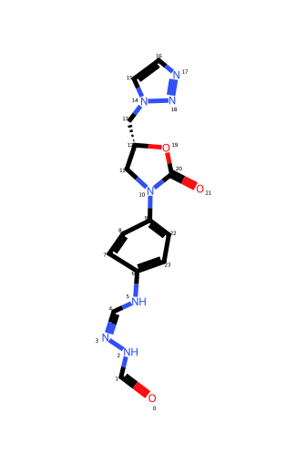 O=CN/N=C\Nc1ccc(N2C[C@H](Cn3ccnn3)OC2=O)cc1